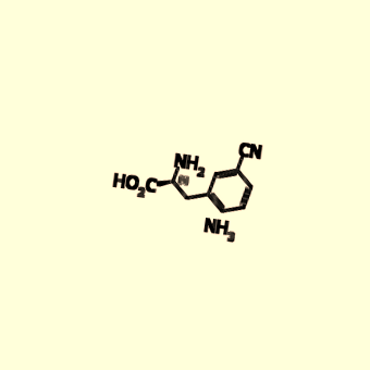 N.N#Cc1cccc(C[C@H](N)C(=O)O)c1